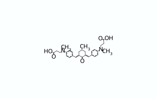 CC1C/C(=C\c2ccc(N(C)CCC(=O)O)cc2)C(=O)/C(=C/c2ccc(N(C)CCC(=O)O)cc2)C1